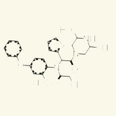 Cc1cc(Oc2ccccc2)ccc1N(C(=O)CCl)C(C(=O)N1CC(C)NC(C)C1)c1cccs1